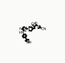 Cn1c(C(=O)N2CC(C#N)C2)cc2c1CN(c1ncc(F)c(Nc3ccc(-c4cn[nH]c4)cc3)n1)CC2